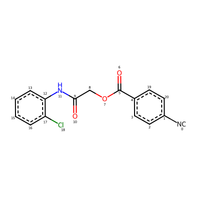 [C-]#[N+]c1ccc(C(=O)OCC(=O)Nc2ccccc2Cl)cc1